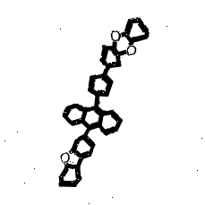 c1ccc2c(c1)Oc1ccc(-c3ccc(-c4c5ccccc5c(-c5ccc6c(c5)oc5ccccc56)c5ccccc45)cc3)cc1O2